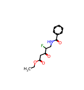 CCOC(=O)CC(=O)C(F)CNC(=O)c1ccccc1